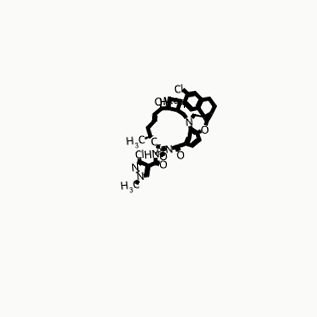 CO[C@H]1/C=C/C[C@H](C)C[S@@](=O)(NC(=O)c2cn(C)nc2Cl)=NC(=O)c2ccc3c(c2)N(C[C@@H]2CC[C@H]21)C[C@@]12c4ccc(Cl)cc4CCC1C2O3